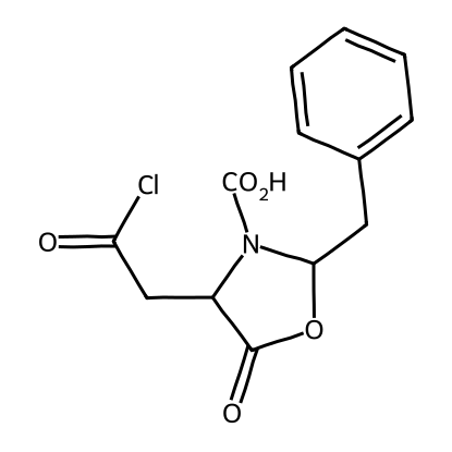 O=C(Cl)CC1C(=O)OC(Cc2ccccc2)N1C(=O)O